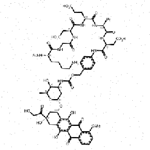 COc1cccc2c1C(=O)c1c(O)c3c(c(O)c1C2=O)C[C@@](O)(C(=O)CO)C[C@@H]3O[C@H]1C[C@H](NC(=O)OCc2ccc(NC(=O)[C@H](CC(=O)O)NC(=O)[C@@H](NC(=O)[C@H](CCC(=O)O)NC(=O)[C@H](CC(=O)O)NC(=O)CNC(=O)[C@H](CCCCN)NC(C)=O)C(C)C)cc2)[C@H](O)[C@H](C)O1